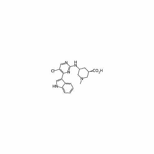 CN1CC(Nc2ncc(Cl)c(-c3c[nH]c4ccccc34)n2)C[C@@H](C(=O)O)C1